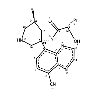 CC(C)[C@H](O)C(=O)N[C@]1(c2ccc(C#N)c3nccnc23)CNC[C@@H](C)C1